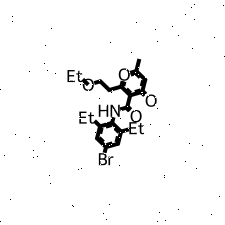 CCOCCc1oc(C)cc(=O)c1C(=O)Nc1c(CC)cc(Br)cc1CC